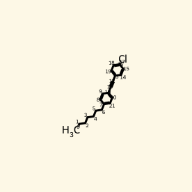 CCCCCCCc1ccc(C#Cc2ccc(Cl)cc2)cc1